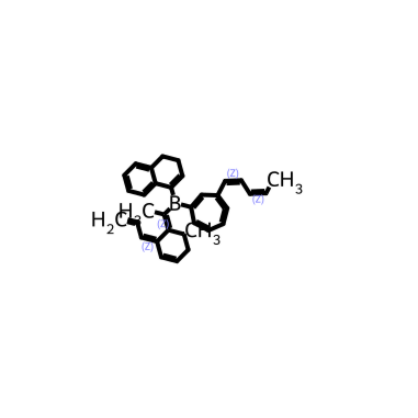 C=C/C=C1/C=CCC(C)/C1=C(/C)B(C1=CC(/C=C\C=C/C)=C=CC=C1)C1=CCCc2ccccc21